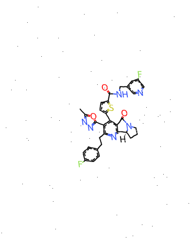 Cc1nnc(-c2c(CCc3ccc(F)cc3)nc3c(c2-c2ccc(C(=O)NCc4cncc(F)c4)s2)C(=O)N2CCC[C@@H]32)o1